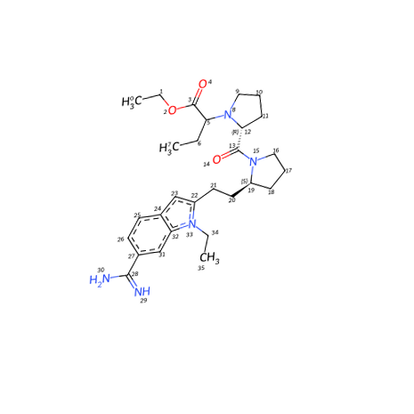 CCOC(=O)C(CC)N1CCC[C@@H]1C(=O)N1CCC[C@H]1CCc1cc2ccc(C(=N)N)cc2n1CC